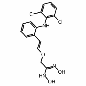 ON=C(COC=Cc1ccccc1Nc1c(Cl)cccc1Cl)NO